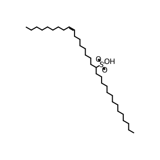 CCCCCCCC/C=C\CCCCCCCC(CCCCCCCCCCCCCC)S(=O)(=O)O